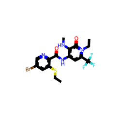 CCSc1cc(Br)cnc1C(=O)Nc1cc(C(F)(F)F)n(CC)c(=O)c1NC